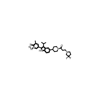 Cc1cc(-c2[nH]c3ccc(C4CCN(C(=O)CCN5CCC(F)(F)C5)CC4)cc3c2C(C)C)cn2nnnc12